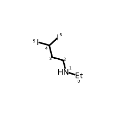 CCNCCC(I)I